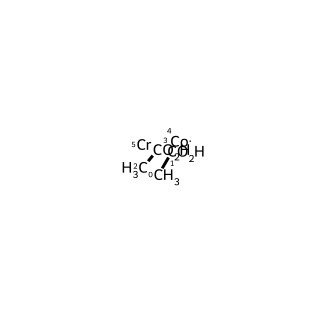 CC(=O)O.CC(=O)O.[Co].[Cr]